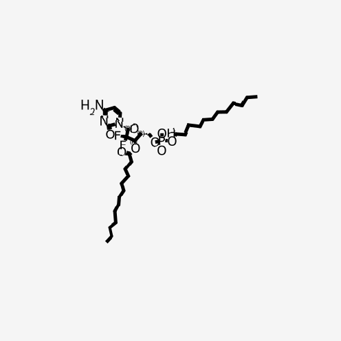 CCCCCCCCCCCCOP(=O)(O)OC[C@H]1O[C@@H](n2ccc(N)nc2=O)C(F)(F)[C@@H]1OC(=O)CCCCCCCCCCCC